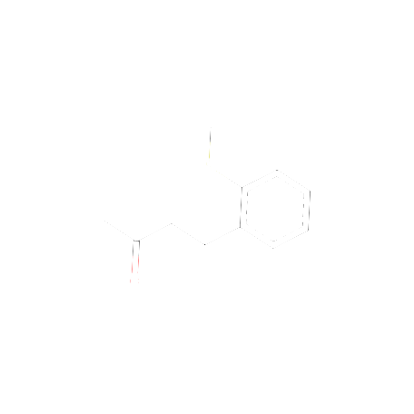 CSc1ccccc1CCC(C)=O